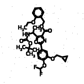 CCOc1ccccc1COC(=O)c1nc(-c2ccc(OC(F)F)c(OCC3CC3)c2)oc1C(C)NC(=O)OC(C)(C)C